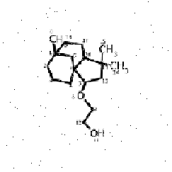 CC12CCCC3(C1)C(OCCO)CC(C)(C)C3CC2